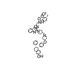 O=C(NCc1cc2c3ccccc3nc(N3CCC(CN4CCC(Oc5ccc([C@@H]6c7ccc(O)cc7CC[C@@H]6c6ccccc6)cc5)CC4)CC3)n2n1)c1ccccc1OC(F)(F)F